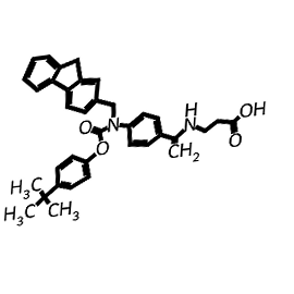 C=C(NCCC(=O)O)c1ccc(N(Cc2ccc3c(c2)Cc2ccccc2-3)C(=O)Oc2ccc(C(C)(C)C)cc2)cc1